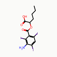 CCCCC(OC(=O)c1c(I)cc(I)c(N)c1I)C(=O)O